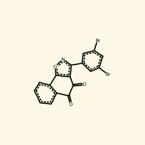 O=C1C(=O)c2c(-c3cc(Br)cc(Br)c3)noc2-c2ccccc21